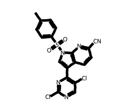 Cc1ccc(S(=O)(=O)n2cc(-c3nc(Cl)ncc3Cl)c3ccc(C#N)nc32)cc1